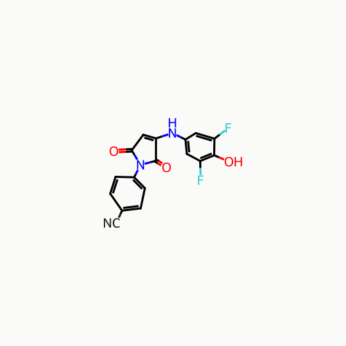 N#Cc1ccc(N2C(=O)C=C(Nc3cc(F)c(O)c(F)c3)C2=O)cc1